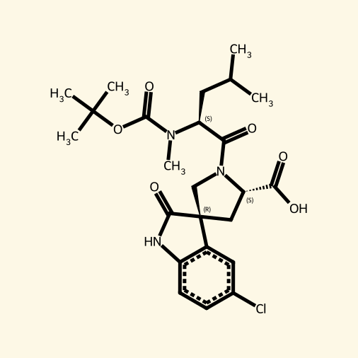 CC(C)C[C@@H](C(=O)N1C[C@]2(C[C@H]1C(=O)O)C(=O)Nc1ccc(Cl)cc12)N(C)C(=O)OC(C)(C)C